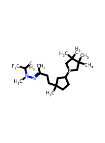 C/C(CCC1(C)CCC(B2CC(C)(C)C(C)(C)C2)C1)=N\N(C)C(C)C(F)(F)F